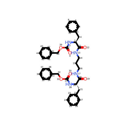 O=C(N[C@@H](Cc1ccccc1)C(=O)NCCCNC(=O)[C@H](Cc1ccccc1)NC(=O)OCc1ccccc1)OCc1ccccc1